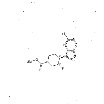 CC(C)(C)OC(=O)N1CC[C@@H](n2ccc3cnc(Cl)nc32)[C@H](F)C1